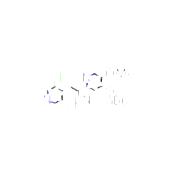 CCCCOc1cc(/C(C#N)=C/c2c(Cl)cncc2Cl)ncc1OC